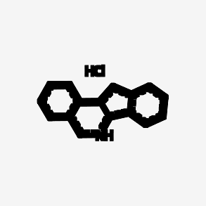 Cl.c1ccc2c3cc4ccccc4c-3[nH]cc2c1